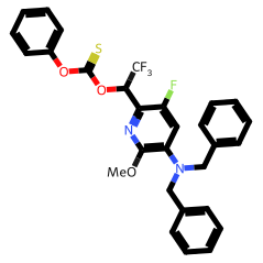 COc1nc(C(OC(=S)Oc2ccccc2)C(F)(F)F)c(F)cc1N(Cc1ccccc1)Cc1ccccc1